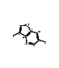 Cc1cnc2c(C)coc2c1